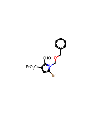 CCOC(=O)c1cc(Br)n(COCc2ccccc2)c1C=O